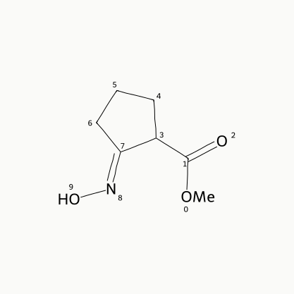 COC(=O)C1CCCC1=NO